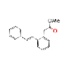 COC(=O)Cc1ccccc1C=Cc1ccccc1